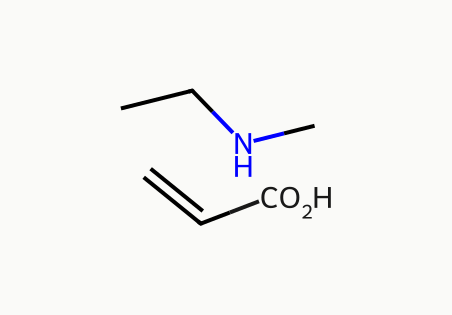 C=CC(=O)O.CCNC